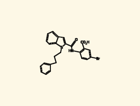 O=C(O)c1cc(Br)ccc1NC(=O)c1cc2ccccc2n1CCCc1ccccc1